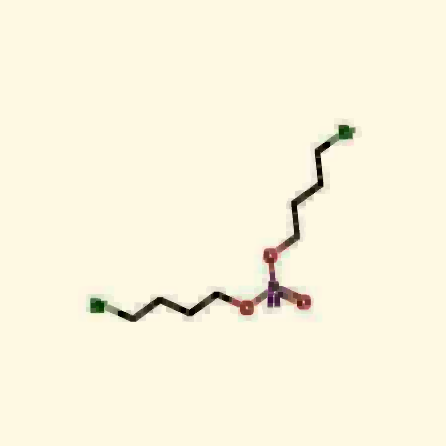 O=[PH](OCCCCBr)OCCCCBr